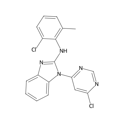 Cc1cccc(Cl)c1Nc1nc2ccccc2n1-c1cc(Cl)ncn1